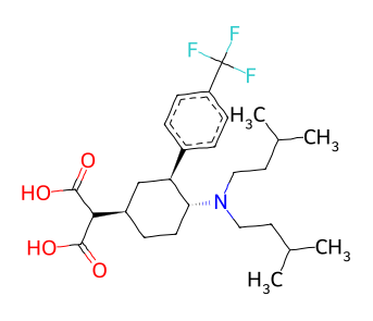 CC(C)CCN(CCC(C)C)[C@@H]1CC[C@@H](C(C(=O)O)C(=O)O)C[C@H]1c1ccc(C(F)(F)F)cc1